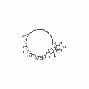 CC1OC(O[C@H]2/C=C/C=C/C=C/C=C/C=C/C=C/C=C/C(C)[C@@H](O)C(C)C(C)OC(=O)C[C@H](O)C[C@H](O)CC[C@@H](O)[C@H](O)C[C@H](O)C[C@]3(O)CC(O)[C@@H](C(=O)N(C(C)C)C(C)C)C(C2)O3)C(O)C(N)C1O